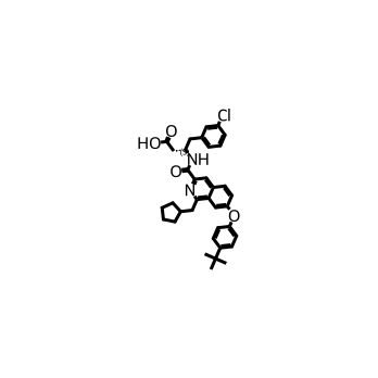 CC(C)(C)c1ccc(Oc2ccc3cc(C(=O)N[C@H](CC(=O)O)Cc4cccc(Cl)c4)nc(CC4CCCC4)c3c2)cc1